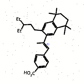 CCC(CC)CCc1cc2c(cc1/C(C)=C/c1ccc(C(=O)O)cc1)C(C)(C)CCC2(C)C